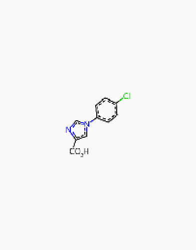 O=C(O)c1cn(-c2ccc(Cl)cc2)cn1